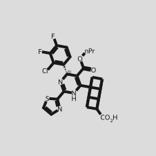 CCCOC(=O)C1=C(C23C4C5C2C2C3C4C52C(=O)O)NC(c2nccs2)=N[C@@H]1c1ccc(F)c(F)c1Cl